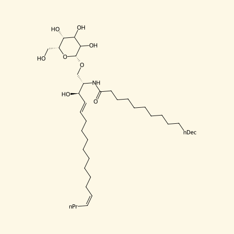 CCC/C=C\CCCCCCCC/C=C/[C@@H](O)[C@H](CO[C@@H]1O[C@H](CO)[C@H](O)C(O)C1O)NC(=O)CCCCCCCCCCCCCCCCCCC